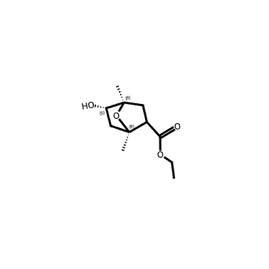 CCOC(=O)C1C[C@@]2(C)O[C@]1(C)C[C@@H]2O